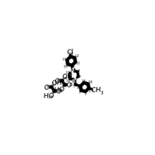 Cc1ccc(CN2CCN(c3ccc(Cl)cc3)CC2)cc1.O=C(O)C(=O)O.O=C(O)C(=O)O